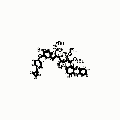 Cc1cc(-n2ncc(C(=O)c3cc4cc(OC5CCN(C6CCC6)CC5)c(Br)cc4n3C(=O)OC(C)(C)C)c2N(C(=O)OC(C)(C)C)C(=O)OC(C)(C)C)ccc1Oc1ccccc1F